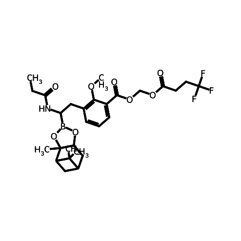 CCC(=O)NC(Cc1cccc(C(=O)OCOC(=O)CCC(F)(F)F)c1OC)B1OC2CC3CC(C3(C)C)C2(C)O1